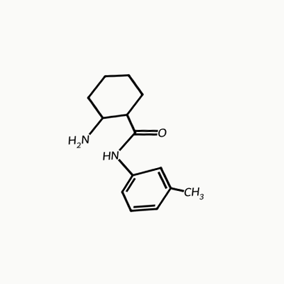 Cc1cccc(NC(=O)C2CCCCC2N)c1